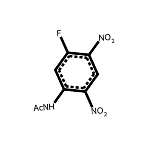 CC(=O)Nc1cc(F)c([N+](=O)[O-])cc1[N+](=O)[O-]